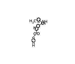 Cc1cccc(-c2[nH]ncc2-c2ccc3ncc(C(=O)OCCN4CCNCC4)cc3c2)n1